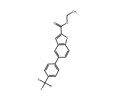 CCOC(=O)c1cc2cc(-c3ccc(C(F)(F)F)cc3)ccc2s1